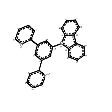 c1ccc(-c2cc(-c3ccccn3)cc(-n3c4ccccc4c4ccccc43)c2)nc1